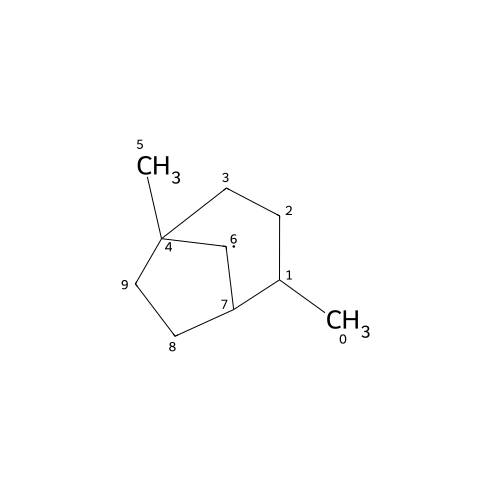 CC1CCC2(C)[CH]C1CC2